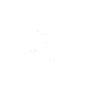 CCO[Si](C)(CC(C)CCl)OCC